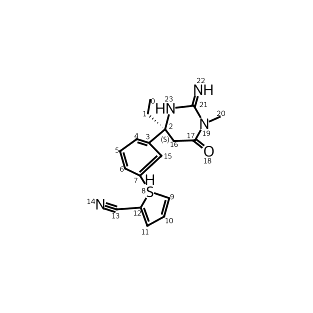 CC[C@@]1(c2cccc([SH]3C=CC=C3C#N)c2)CC(=O)N(C)C(=N)N1